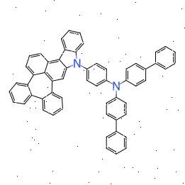 c1ccc(-c2ccc(N(c3ccc(-c4ccccc4)cc3)c3ccc(-n4c5ccccc5c5c6cccc7c6c(cc54)-c4ccccc4-c4ccccc4-7)cc3)cc2)cc1